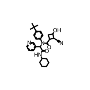 CC(C)(C)c1ccc(N(C(=O)C2CC(O)C2C#N)C(C(=O)NC2CCCCC2)c2cccnc2)cc1